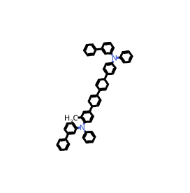 Cc1cc(C2C=CC(C3=CCC(c4ccc(N(c5ccccc5)c5cccc(-c6ccccc6)c5)cc4)C=C3)=CC2)ccc1N(c1ccccc1)c1cccc(-c2ccccc2)c1